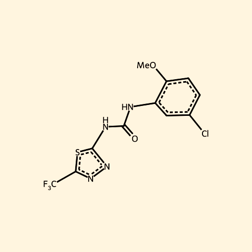 COc1ccc(Cl)cc1NC(=O)Nc1nnc(C(F)(F)F)s1